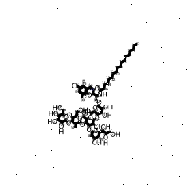 CCCCCCCCCCCCCCCCCC(=O)N[C@@H](CO[C@@H]1OC(CO)[C@@H](O[C@@H]2OC(CO)[C@H](O[C@@H]3OC(CO)[C@H](O)[C@H](O[C@@H]4OC(CO)[C@H](O)[C@H](O)C4O)C3C)[C@H](OC3C[C@@H](O)[C@@H](C)C([C@H](O)[C@H](O)CO)O3)C2O)[C@H](O)C1O)[C@H](O)/C=C\c1cc(C)cc(Cl)c1F